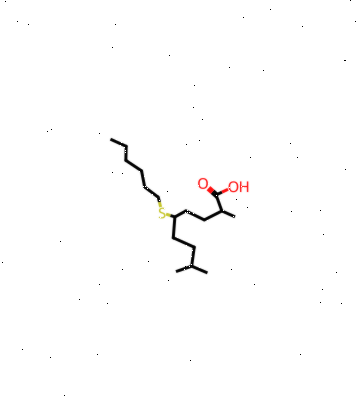 CCCCCCSC(CCC(C)C)CCC(C)C(=O)O